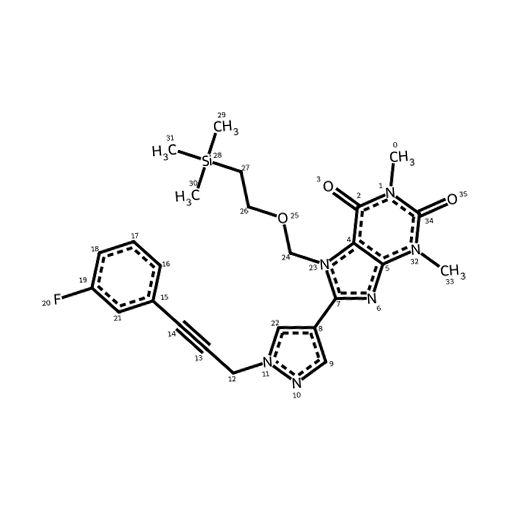 Cn1c(=O)c2c(nc(-c3cnn(CC#Cc4cccc(F)c4)c3)n2COCC[Si](C)(C)C)n(C)c1=O